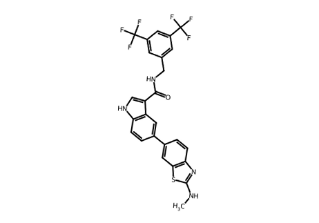 CNc1nc2ccc(-c3ccc4[nH]cc(C(=O)NCc5cc(C(F)(F)F)cc(C(F)(F)F)c5)c4c3)cc2s1